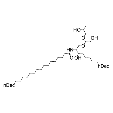 CCCCCCCCCCCCCCCCCCCCCCCCCC(=O)N[C@@H](COC(CO)OCC(C)O)C(O)CCCCCCCCCCCCCCC